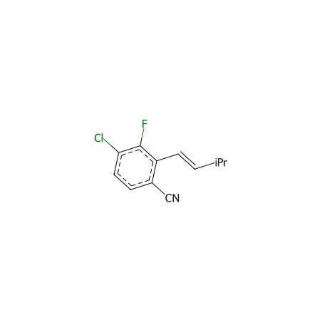 CC(C)/C=C/c1c(C#N)ccc(Cl)c1F